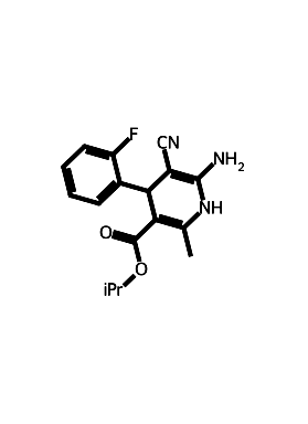 CC1=C(C(=O)OC(C)C)C(c2ccccc2F)C(C#N)=C(N)N1